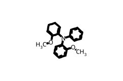 COC1=CCCC=C1N(c1ccccc1)c1ccccc1OC